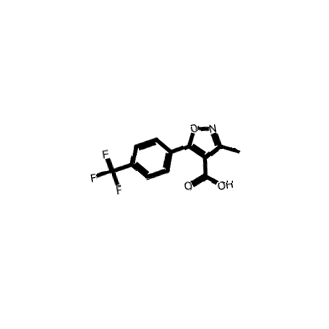 Cc1noc(-c2ccc(C(F)(F)F)cc2)c1C(=O)O